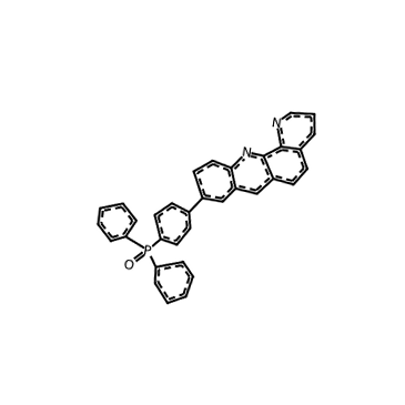 O=P(c1ccccc1)(c1ccccc1)c1ccc(-c2ccc3nc4c(ccc5cccnc54)cc3c2)cc1